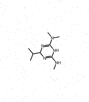 CNC1=NC(C(C)C)N=C(N(C)C)N1